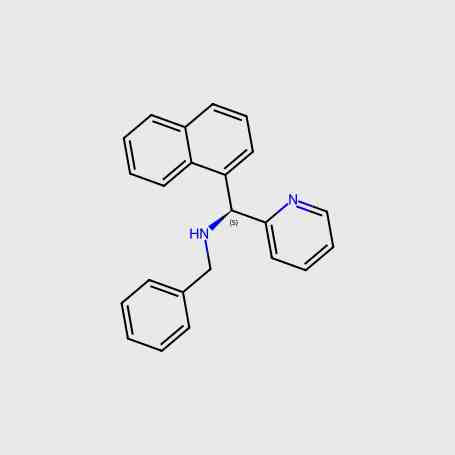 c1ccc(CN[C@H](c2ccccn2)c2cccc3ccccc23)cc1